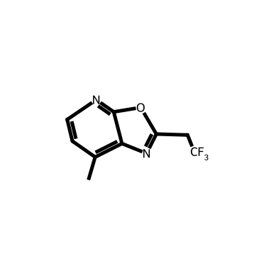 Cc1ccnc2oc(CC(F)(F)F)nc12